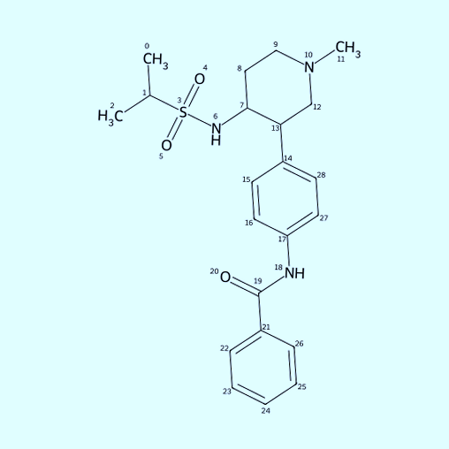 CC(C)S(=O)(=O)NC1CCN(C)CC1c1ccc(NC(=O)c2ccccc2)cc1